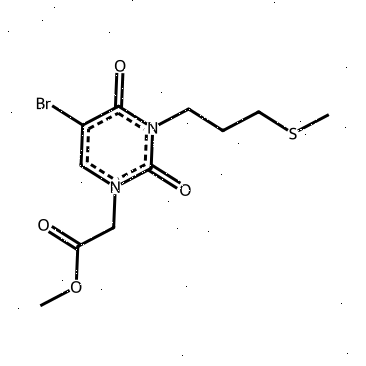 COC(=O)Cn1cc(Br)c(=O)n(CCCSC)c1=O